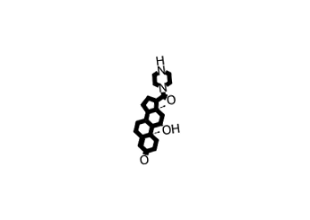 C[C@]12C[C@H](O)C3C(CCC4=CC(=O)CC[C@@]43C)C1CCC2C(=O)N1CCNCC1